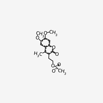 COc1cc2oc(=O)c(CCOS(C)(=O)=O)c(C)c2cc1OC